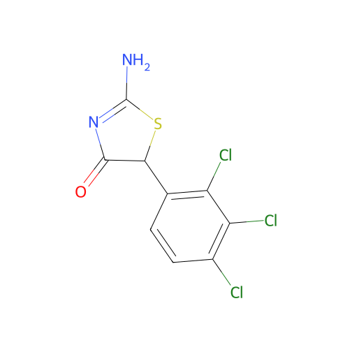 NC1=NC(=O)C(c2ccc(Cl)c(Cl)c2Cl)S1